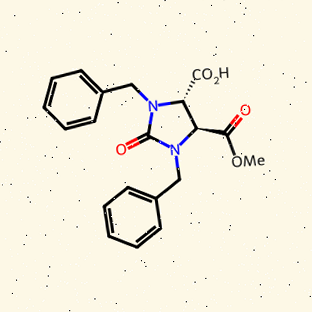 COC(=O)[C@@H]1[C@@H](C(=O)O)N(Cc2ccccc2)C(=O)N1Cc1ccccc1